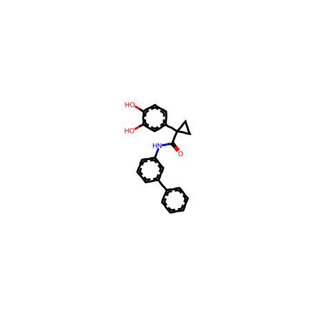 O=C(Nc1cccc(-c2ccccc2)c1)C1(c2ccc(O)c(O)c2)CC1